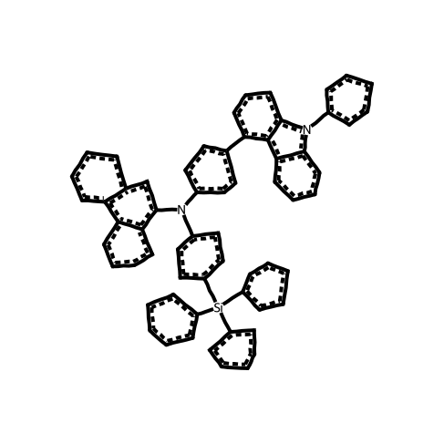 c1ccc(-n2c3ccccc3c3c(-c4ccc(N(c5ccc([Si](c6ccccc6)(c6ccccc6)c6ccccc6)cc5)c5cc6ccccc6c6ccccc56)cc4)cccc32)cc1